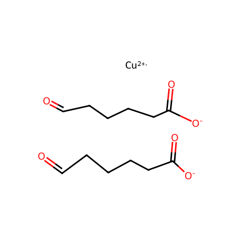 O=CCCCCC(=O)[O-].O=CCCCCC(=O)[O-].[Cu+2]